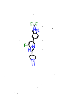 Fc1cc(-c2ccc3nn(C(F)F)cc3c2)cn2cc(C3CCNCC3)nc12